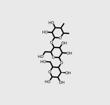 CC1OC(OC2C(CO)OC(OC3C(CO)OC(O)C(O)[C@@H]3O)C(O)C2O)C(O)C(O)C1C